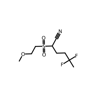 COCCS(=O)(=O)C(C#N)CCC(C)(F)F